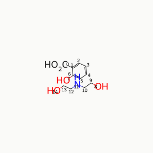 O=C(O)c1ccccc1O.OCCNCCO